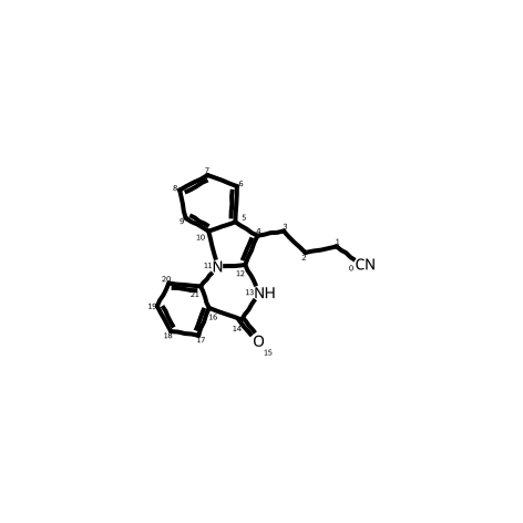 N#CCCCc1c2ccccc2n2c1[nH]c(=O)c1ccccc12